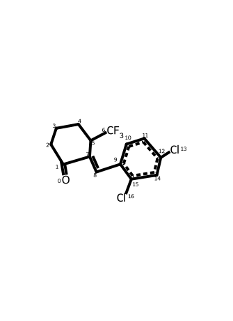 O=C1CCCC(C(F)(F)F)/C1=C\c1ccc(Cl)cc1Cl